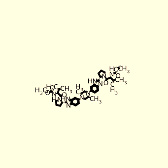 COC(=O)N[C@H](C(=O)N1CCC[C@H]1c1nc2ccc(N3C[C@H](C)N(c4ccc5nc([C@@H]6CCCN6C(=O)[C@@H](NC(=O)OC)C(C)C)[nH]c5c4)C[C@H]3C)cc2[nH]1)C(C)C